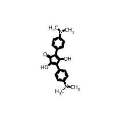 CN(C)c1ccc(C2=C(O)C(c3ccc(N(C)C)cc3)=C(O)C2=O)cc1